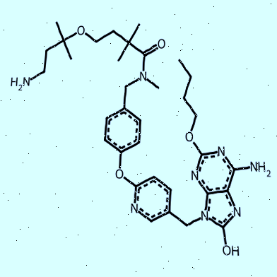 CCCCOc1nc(N)c2nc(O)n(Cc3ccc(Oc4ccc(CN(C)C(=O)C(C)(C)CCOC(C)(C)CCN)cc4)nc3)c2n1